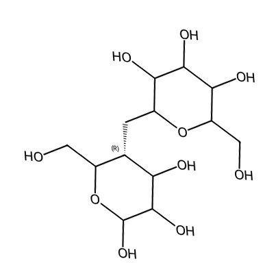 OCC1OC(C[C@H]2C(CO)OC(O)C(O)C2O)C(O)C(O)C1O